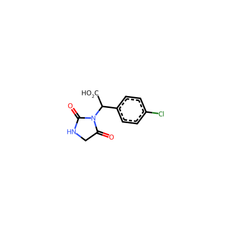 O=C(O)C(c1ccc(Cl)cc1)N1C(=O)CNC1=O